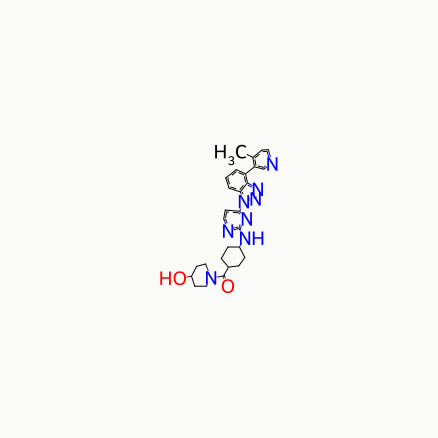 Cc1ccncc1-c1cccc2c1nnn2-c1ccnc(NC2CCC(C(=O)N3CCC(O)CC3)CC2)n1